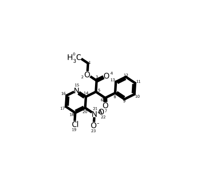 CCOC(=O)C(C(=O)c1ccccc1)c1nccc(Cl)c1[N+](=O)[O-]